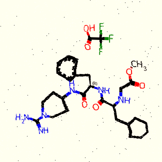 COC(=O)CNC(CC1CCCCC1)C(=O)N[C@H](Cc1ccccc1)C(=O)NC1CCN(C(=N)N)CC1.O=C(O)C(F)(F)F